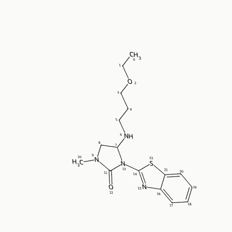 CCOCCCNC1CN(C)C(=O)N1c1nc2ccccc2s1